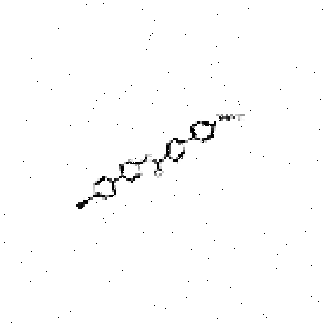 C#Cc1ccc(-c2ccc(OC(=O)c3ccc(-c4ccc(CCCCCCC)cc4)cc3)cc2)cc1